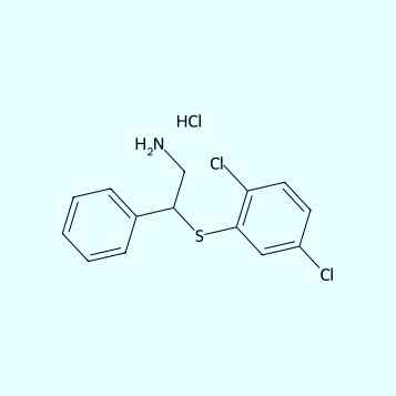 Cl.NCC(Sc1cc(Cl)ccc1Cl)c1ccccc1